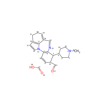 CN1CCC(C2C3=C(C=CC2C=O)n2ccc4c2C(=CCC4)C=N3)CC1.O=CO